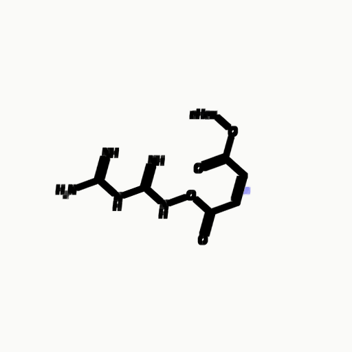 CCCCCCOC(=O)/C=C\C(=O)ONC(=N)NC(=N)N